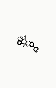 CN1C(=O)[C@@H](Cc2ccc(-c3ccncc3)cc2)NC(=O)c2c(Cl)cccc21